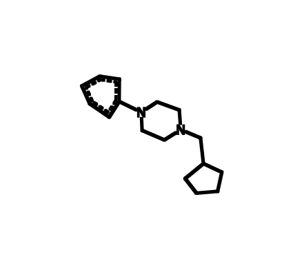 c1ccc(N2CCN(CC3CCCC3)CC2)cc1